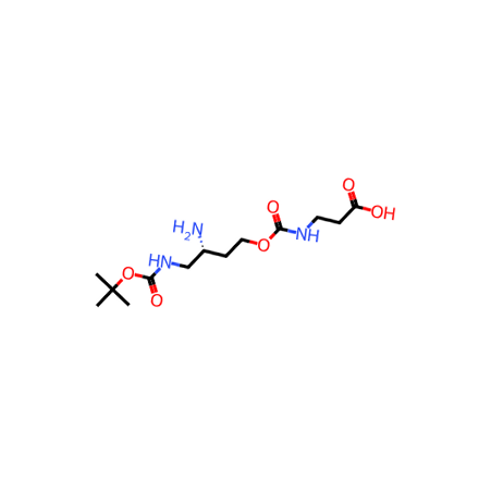 CC(C)(C)OC(=O)NC[C@H](N)CCOC(=O)NCCC(=O)O